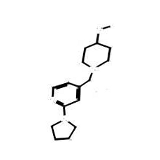 CNC1CCN(Cc2ccnc(N3CCCC3)c2)CC1.Cl